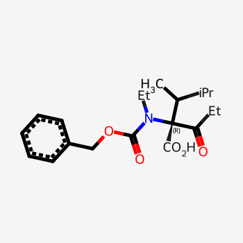 CCC(=O)[C@@](C(=O)O)(C(C)C(C)C)N(CC)C(=O)OCc1ccccc1